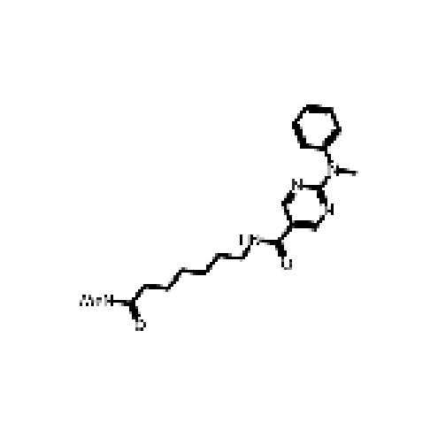 CNC(=O)CCCCCCNC(=O)c1cnc(N(C)c2ccccc2)nc1